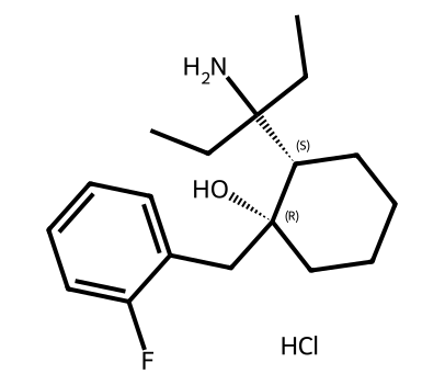 CCC(N)(CC)[C@@H]1CCCC[C@@]1(O)Cc1ccccc1F.Cl